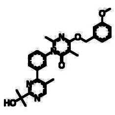 COc1cccc(COc2nc(C)n(-c3cccc(-c4nc(C(C)(C)O)ncc4C)c3)c(=O)c2C)c1